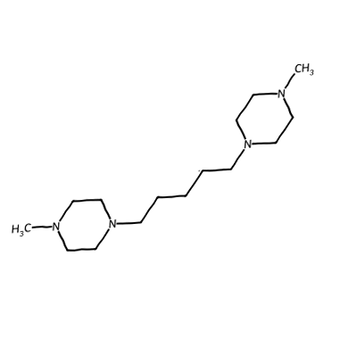 CN1CCN(C[CH]CCCN2CCN(C)CC2)CC1